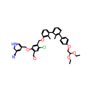 CCOC(COc1ccc(-c2cccc(-c3cccc(OCc4cc(OCC5=CNCC(C#N)=C5)c(C=O)cc4Cl)c3C)c2C)cc1)OCC